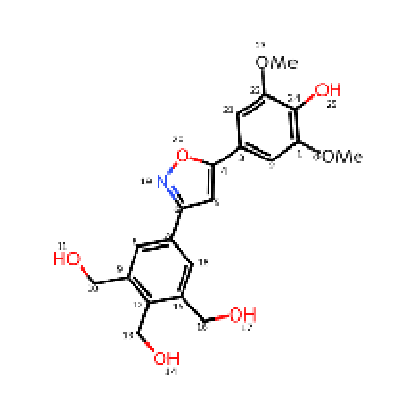 COc1cc(-c2cc(-c3cc(CO)c(CO)c(CO)c3)no2)cc(OC)c1O